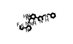 Fc1ccc(-c2nccc3[nH]c(-c4n[nH]c5ccc(-c6cncc(CNCc7ccccc7)c6)c(F)c45)nc23)s1